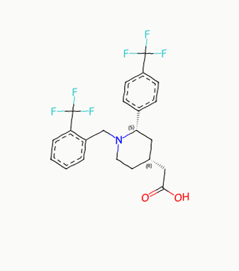 O=C(O)C[C@@H]1CCN(Cc2ccccc2C(F)(F)F)[C@H](c2ccc(C(F)(F)F)cc2)C1